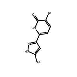 Nc1cc(-c2ccc(Br)c(=O)[nH]2)n[nH]1